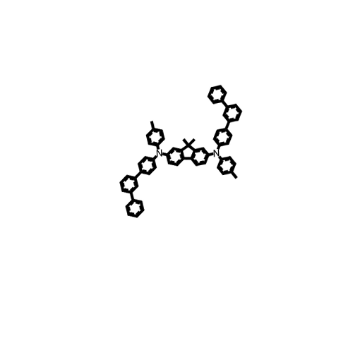 Cc1ccc(N(c2ccc(-c3cccc(-c4ccccc4)c3)cc2)c2ccc3c(c2)C(C)(C)c2cc(N(c4ccc(C)cc4)c4ccc(-c5cccc(-c6ccccc6)c5)cc4)ccc2-3)cc1